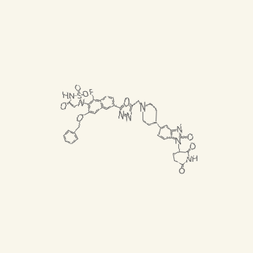 Cn1c(=O)n(C2CCC(=O)NC2=O)c2ccc(C3CCN(Cc4nnc(-c5ccc6c(F)c(N7CC(=O)NS7(=O)=O)c(OCc7ccccc7)cc6c5)o4)CC3)cc21